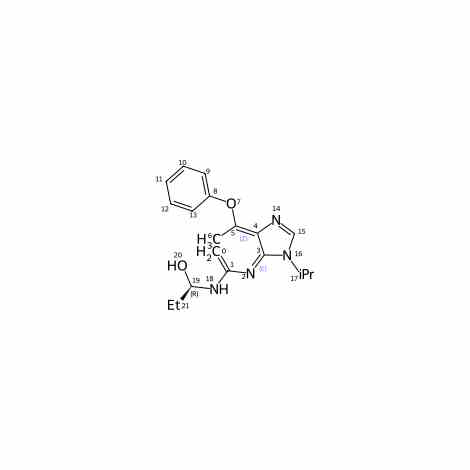 C=C(/N=C1\C(=C(/C)Oc2ccccc2)N=CN1C(C)C)N[C@H](O)CC